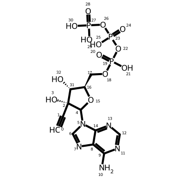 C#C[C@]1(O)C(n2cnc3c(N)ncnc32)O[C@H](COP(=O)(O)OP(=O)(O)OP(=O)(O)O)[C@H]1O